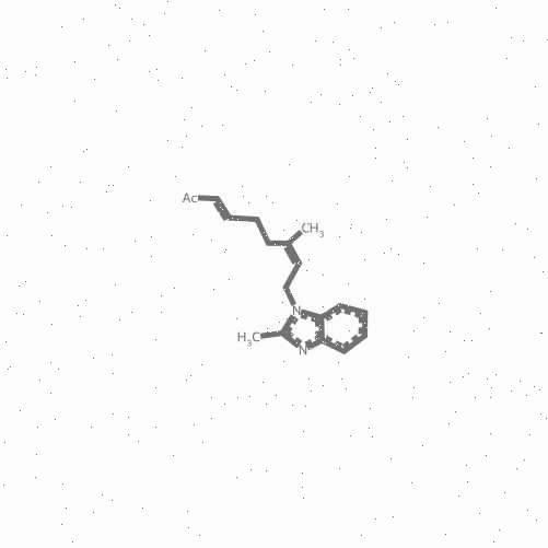 CC(=O)C=CCCC(C)=CCn1c(C)nc2ccccc21